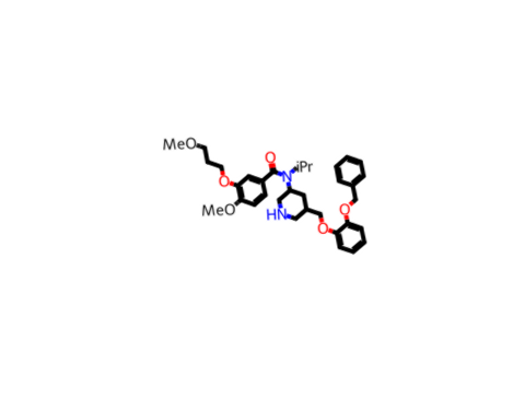 COCCCOc1cc(C(=O)N(C(C)C)C2CNCC(COc3ccccc3OCc3ccccc3)C2)ccc1OC